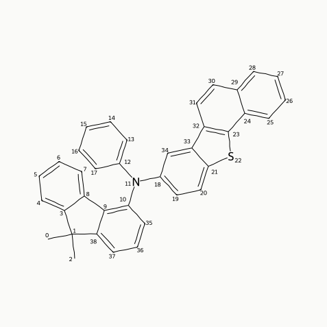 CC1(C)c2ccccc2-c2c(N(c3ccccc3)c3ccc4sc5c6ccccc6ccc5c4c3)cccc21